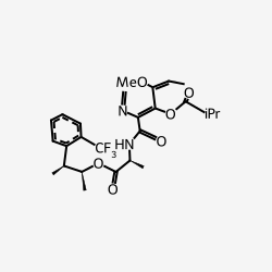 C=N/C(C(=O)N[C@@H](C)C(=O)O[C@@H](C)[C@@H](C)c1ccccc1C(F)(F)F)=C(OC(=O)C(C)C)\C(=C/C)OC